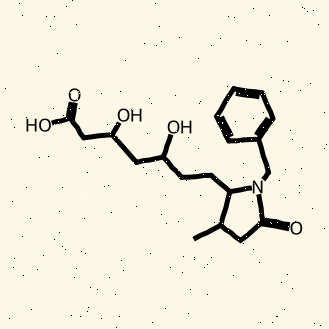 CC1CC(=O)N(Cc2ccccc2)C1CCC(O)CC(O)CC(=O)O